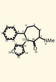 CNC1CCCC(c2ccccc2)N(c2ccoc2)C1=O